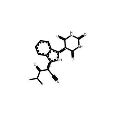 CC(C)C(=O)/C(C#N)=c1/[nH]c(=C2C(=O)NC(=O)NC2=O)c2ccccc12